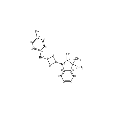 CC1(C)C(=O)N(C2CC(Nc3ccc(F)cn3)C2)c2ncccc21